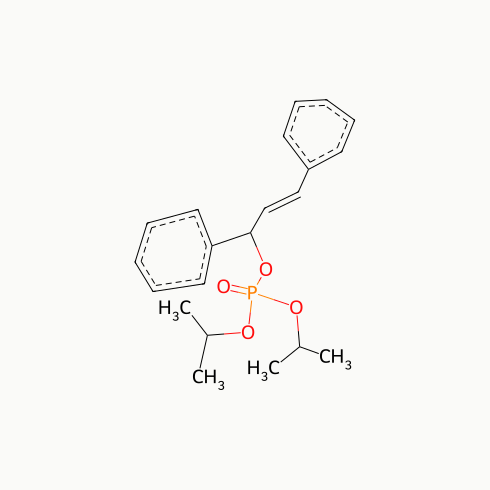 CC(C)OP(=O)(OC(C)C)OC(C=Cc1ccccc1)c1ccccc1